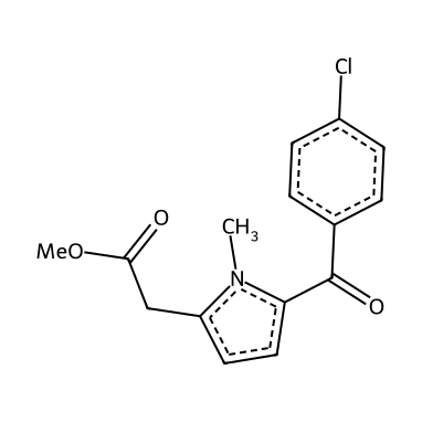 COC(=O)Cc1ccc(C(=O)c2ccc(Cl)cc2)n1C